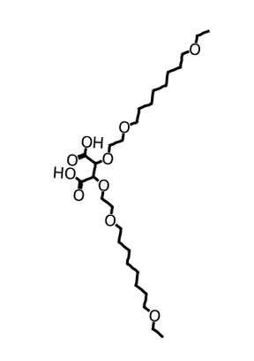 CCOCCCCCCCCOCCOC(C(=O)O)C(OCCOCCCCCCCCOCC)C(=O)O